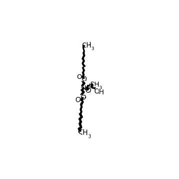 CCCCCCCCCCCCCC(=O)OCCCN(CCCOC(=O)CCCCCCCCCCCCC)C(=O)CN(C)CCO